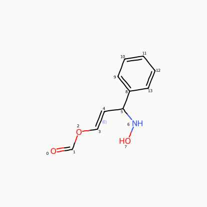 O=CO/C=C/C(NO)c1ccccc1